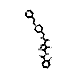 O=C(Nc1[nH]nc(C(=O)NCC2CCN(CCc3ccncc3)CC2)c1Br)c1ccccc1Cl